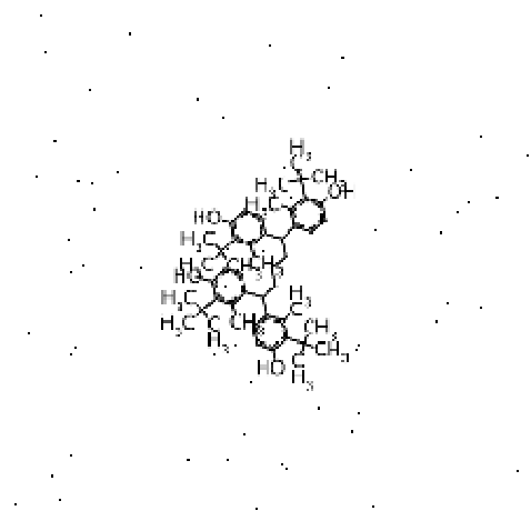 Cc1c(C(CCCC(c2ccc(O)c(C(C)(C)C)c2C)c2ccc(O)c(C(C)(C)C)c2C)c2ccc(O)c(C(C)(C)C)c2C)ccc(O)c1C(C)(C)C